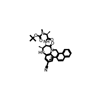 COc1ccc2ccccc2c1CN1C(=O)[C@@H](NC(=O)[C@H](C)N(C)C(=O)OC(C)(C)C)[C@H](C)Nc2cc(C#N)ccc21